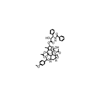 COc1ccc(C2O[C@H]3C[C@H]4OC[C@@]4(OC(C)=O)[C@H]4[C@H](C)[C@]5(C(C)(C)O)C[C@H](OC(=O)[C@H](O)[C@@H](NC(=O)c6ccccc6)c6ccccc6)C(C)=C5[C@H](OC(C)=O)[C@H](O2)[C@]34C)cc1